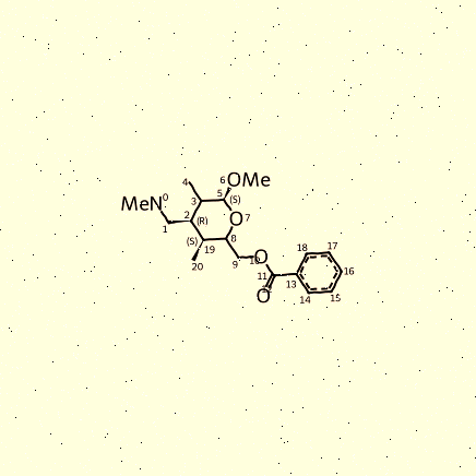 CNC[C@H]1C(C)[C@@H](OC)OC(COC(=O)c2ccccc2)[C@H]1C